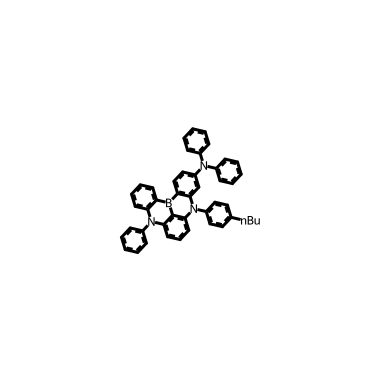 CCCCc1ccc(N2c3cc(N(c4ccccc4)c4ccccc4)ccc3B3c4ccccc4N(c4ccccc4)c4cccc2c43)cc1